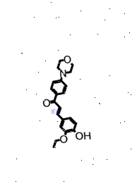 CCOc1cc(/C=C/C(=O)c2ccc(N3CCOCC3)cc2)ccc1O